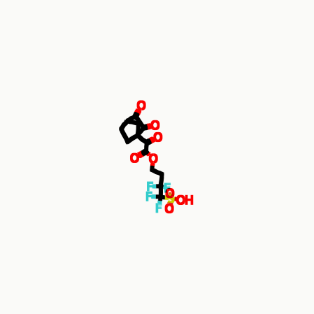 O=C(OCCC(F)(F)C(F)(F)S(=O)(=O)O)C(=O)C12CCC(C1)C(=O)C2=O